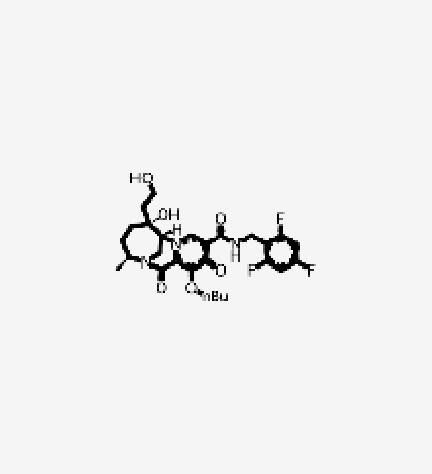 CCCCOc1c2n(cc(C(=O)NCc3c(F)cc(F)cc3F)c1=O)[C@@H]1CN(C2=O)[C@@H](C)CC[C@@]1(O)CCO